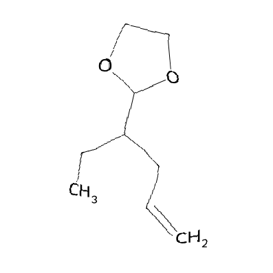 C=CCC(CC)C1OCCO1